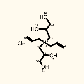 C=CC[N+](CC=C)(CC(O)CO)CC(O)CO.[Cl-]